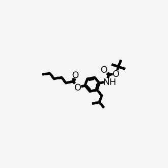 CCCCCC(=O)Oc1ccc(NC(=O)OC(C)(C)C)c(CC(C)C)c1